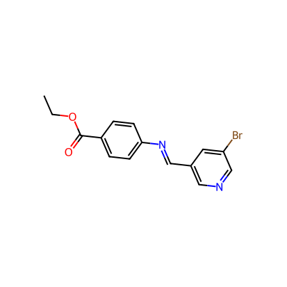 CCOC(=O)c1ccc(N=Cc2cncc(Br)c2)cc1